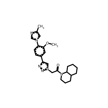 COc1cc(-c2cn(CC(=O)N3CCCC4CCCCC43)nn2)ccc1-n1cnc(C)c1